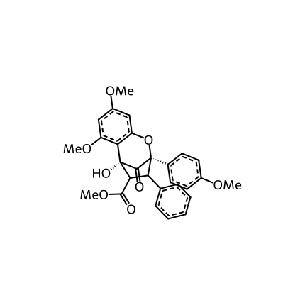 COC(=O)C1C(c2ccccc2)[C@]2(c3ccc(OC)cc3)Oc3cc(OC)cc(OC)c3[C@@]1(O)C2=O